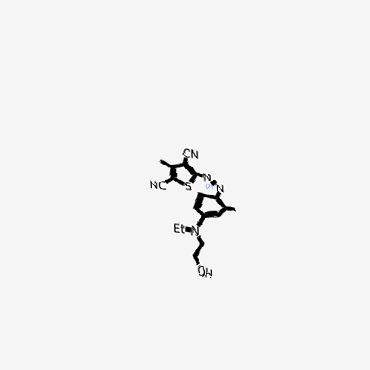 CCN(CCO)c1ccc(/N=N\c2sc(C#N)c(C)c2C#N)c(C)c1